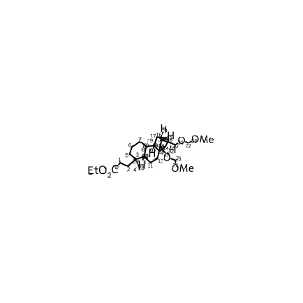 CCOC(=O)CC[C@]1(C)CCC[C@]2(C)[C@@H]1CC[C@@]13CC[C@@H](C[C@@H]21)[C@H](COCOC)[C@H]3OCOC